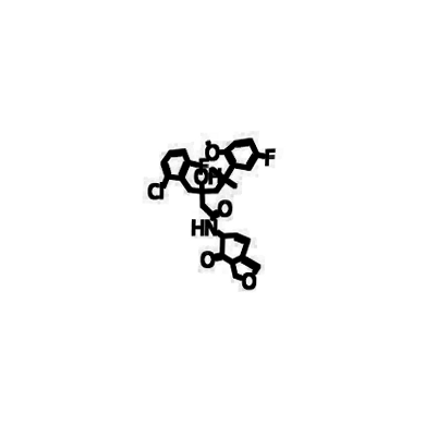 COc1ccc(F)cc1C(C)(C)CC(O)(CC(=O)NC1C=CC2=COCC2C1=O)Cc1c(F)cccc1Cl